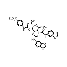 CCOC(=O)c1ccc(NC(=O)O[C@H]2C(OC(=O)Nc3ccc4c(c3)OCO4)[C@@H](OC(=O)Nc3ccc4c(c3)OCO4)C(OC)O[C@@H]2CO)cc1